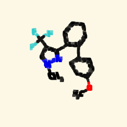 COc1ccc(-c2ccccc2-c2nn(C)cc2C(F)(F)F)cc1